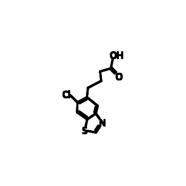 O=C(O)CCCc1cc2ncsc2cc1Cl